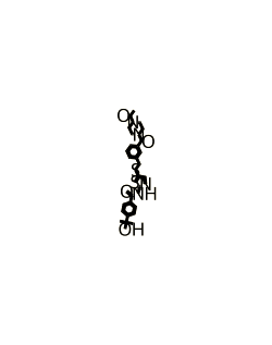 CC(=O)N1CCN(C(=O)c2cccc(CSc3cnc(NC(=O)c4ccc(C(C)(C)O)cc4)s3)c2)CC1